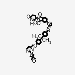 CC(C)(c1ccc(OCc2ccnc(N3CC4(COC4)C3)n2)cc1)c1ccc(OC[C@@H]2CCN2c2ccc3c(c2)C(=O)N(C2CCC(=O)NC2=O)C3=O)cc1